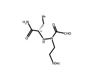 CCCCCCCCCCCCN(N[C@@H](CC(C)C)C(N)=O)C(=O)C=O